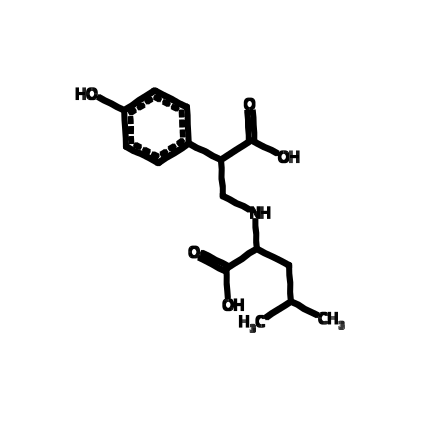 CC(C)CC(NCC(C(=O)O)c1ccc(O)cc1)C(=O)O